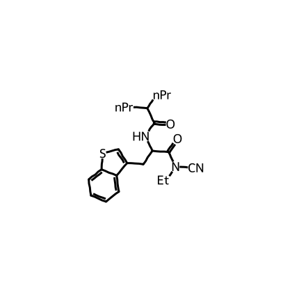 CCCC(CCC)C(=O)NC(Cc1csc2ccccc12)C(=O)N(C#N)CC